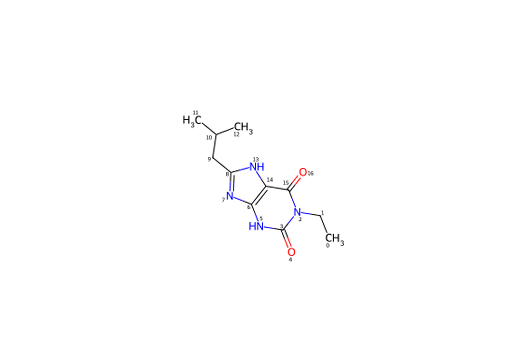 CCn1c(=O)[nH]c2nc(CC(C)C)[nH]c2c1=O